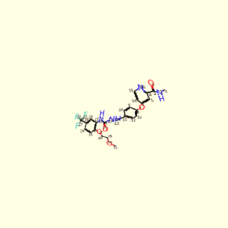 CNC(=O)c1cc(Oc2ccc(CNC(=O)Nc3cc(C(F)(F)F)ccc3OCCOC)cc2)ccn1